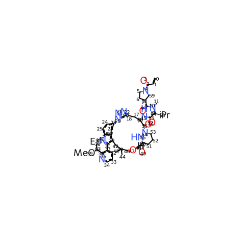 C=CC(=O)N1CC[C@H](C(=O)N(C)[C@H](C(=O)N[C@H]2Cc3cn(nn3)-c3ccc4c(c3)c(c(-c3cccnc3[C@H](C)OC)n4CC)CC(C)(C)COC(=O)[C@@H]3CCCN(N3)C2=O)C(C)C)C1